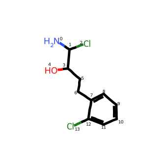 NC(Cl)C(O)CCc1ccccc1Cl